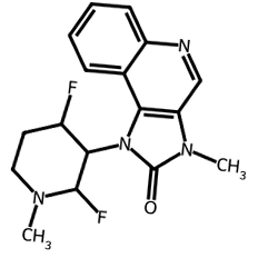 CN1CCC(F)C(n2c(=O)n(C)c3cnc4ccccc4c32)C1F